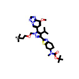 COc1cc(-c2c(C(C)C)c(-c3nc4c(s3)CC(N(C)C(=O)OC(C)(C)C)CC4)nn2COCC[Si](C)(C)C)cn2ncnc12